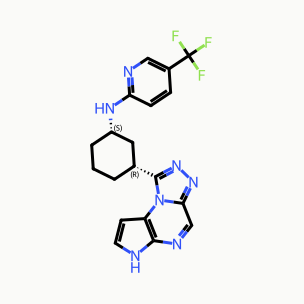 FC(F)(F)c1ccc(N[C@H]2CCC[C@@H](c3nnc4cnc5[nH]ccc5n34)C2)nc1